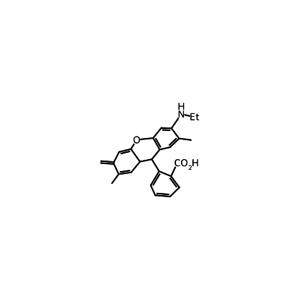 C=C1C=C2Oc3cc(NCC)c(C)cc3C(c3ccccc3C(=O)O)C2C=C1C